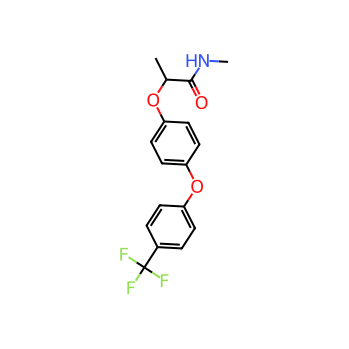 CNC(=O)C(C)Oc1ccc(Oc2ccc(C(F)(F)F)cc2)cc1